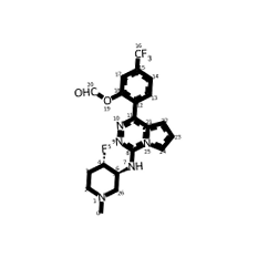 CN1CC[C@H](F)[C@@H](Nc2nnc(-c3ccc(C(F)(F)F)cc3OC=O)c3cccn23)C1